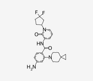 Nc1ccc(C(=O)Nc2cccn(C3CCC(F)(F)C3)c2=O)c(N2CCC3(CC2)CC3)c1